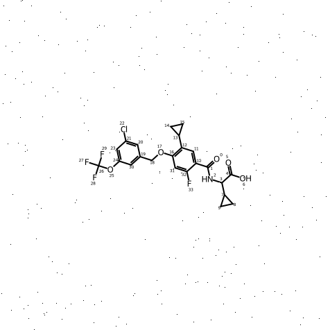 O=C(NC(C(=O)O)C1CC1)c1cc(C2CC2)c(OCc2cc(Cl)cc(OC(F)(F)F)c2)cc1F